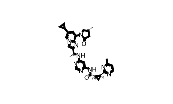 Cc1ccnc([C@H]2C[C@@H]2C(=O)Nc2cc(N[C@H](C)c3cn4cc(C5CC5)cc(N5C[C@H](C)CC5=O)c4n3)ncn2)n1